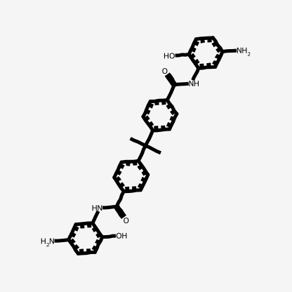 CC(C)(c1ccc(C(=O)Nc2cc(N)ccc2O)cc1)c1ccc(C(=O)Nc2cc(N)ccc2O)cc1